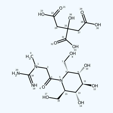 CN(CC(=O)N1[C@H](CO)[C@H](O)[C@@H](O)[C@H](O)[C@H]1CO)C(=N)N.O=C(O)CC(O)(CC(=O)O)C(=O)O